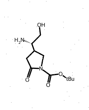 CC(C)(C)OC(=O)N1CC([C@H](N)CO)CC1=O